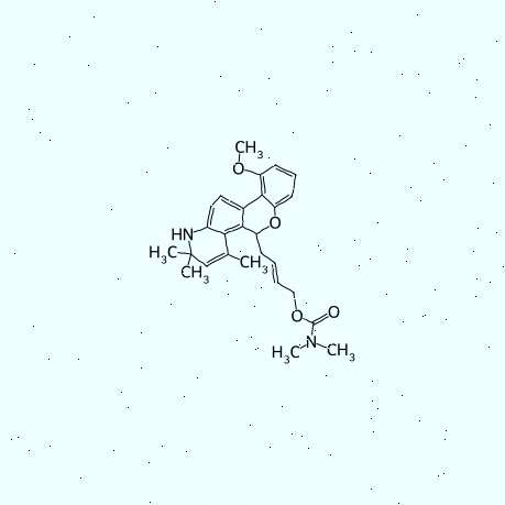 COc1cccc2c1-c1ccc3c(c1C(CC=CCOC(=O)N(C)C)O2)C(C)=CC(C)(C)N3